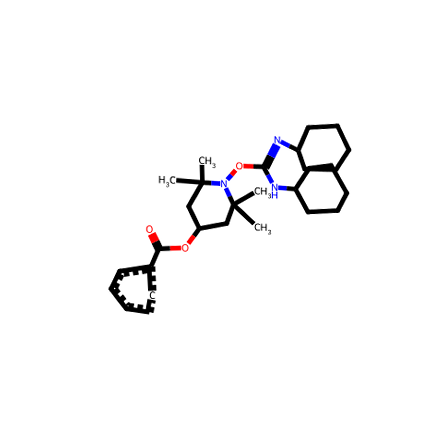 CC1(C)CC(OC(=O)c2ccccc2)CC(C)(C)N1O/C(=N/C1CCCCC1)NC1CCCCC1